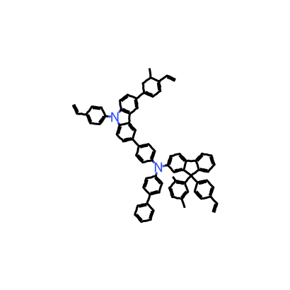 C=CC1=CC=C(c2ccc3c(c2)c2cc(-c4ccc(N(c5ccc(-c6ccccc6)cc5)c5ccc6c(c5)C(c5ccc(C=C)cc5)(c5cc(C)ccc5C)c5ccccc5-6)cc4)ccc2n3-c2ccc(C=C)cc2)CC1C